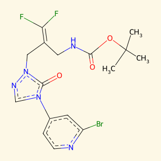 CC(C)(C)OC(=O)NCC(Cn1ncn(-c2ccnc(Br)c2)c1=O)=C(F)F